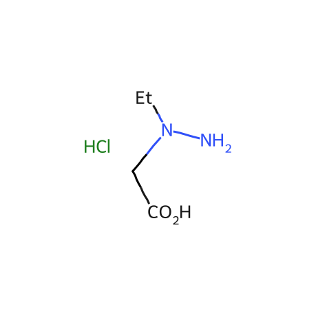 CCN(N)CC(=O)O.Cl